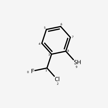 FC(Cl)c1ccccc1S